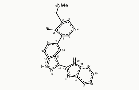 CNCc1cncc(-c2ccc3[nH]nc(-c4nc5ccccc5[nH]4)c3c2)c1C